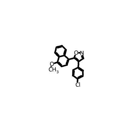 COc1ccc(-c2oncc2-c2ccc(Cl)cc2)c2ccccc12